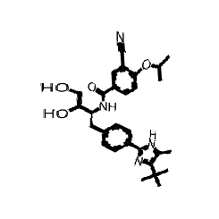 Cc1[nH]c(-c2ccc(C[C@H](NC(=O)c3ccc(OC(C)C)c(C#N)c3)C(O)CO)cc2)nc1C(C)(C)C